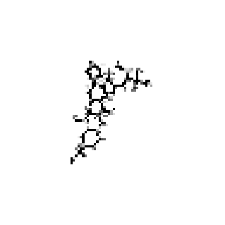 C=C1C=C(C(F)(F)F)N=COC1(c1ccc2nc(OC)c(CN3CCC(C(F)(F)F)CC3)c(Cl)c2c1)c1cnnn1C